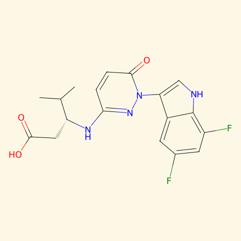 CC(C)[C@@H](CC(=O)O)Nc1ccc(=O)n(-c2c[nH]c3c(F)cc(F)cc23)n1